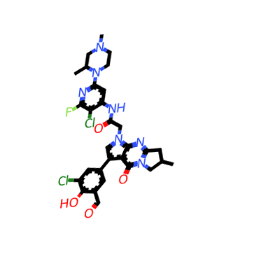 CC1Cc2nc3c(c(-c4cc(Cl)c(O)c(C=O)c4)cn3CC(=O)Nc3cc(N4CCN(C)CC4C)nc(F)c3Cl)c(=O)n2C1